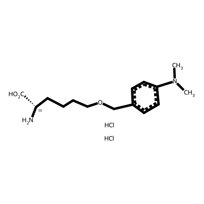 CN(C)c1ccc(COCCCC[C@H](N)C(=O)O)cc1.Cl.Cl